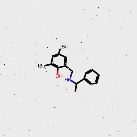 CC(NCc1cc(C(C)(C)C)cc(C(C)(C)C)c1O)c1ccccc1